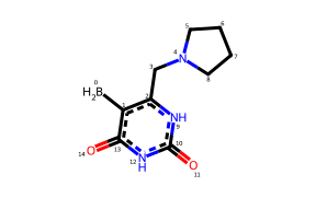 Bc1c(CN2CCCC2)[nH]c(=O)[nH]c1=O